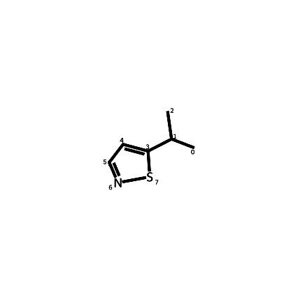 CC(C)c1c[c]ns1